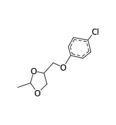 CC1OCC(COc2ccc(Cl)cc2)O1